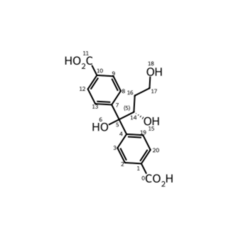 O=C(O)c1ccc(C(O)(c2ccc(C(=O)O)cc2)[C@@H](O)CCO)cc1